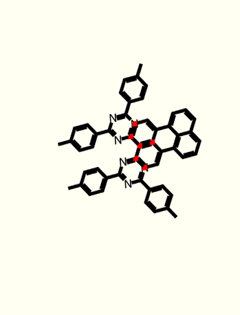 Cc1ccc(-c2nc(-c3ccc(C)cc3)nc(-c3cccc(-c4cccc5cccc(-c6cccc(-c7nc(-c8ccc(C)cc8)nc(-c8ccc(C)cc8)n7)c6)c45)c3)n2)cc1